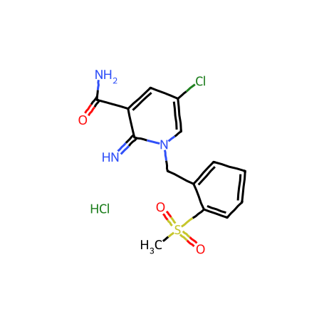 CS(=O)(=O)c1ccccc1Cn1cc(Cl)cc(C(N)=O)c1=N.Cl